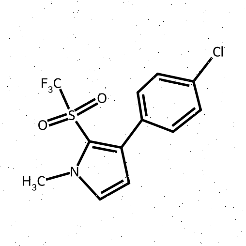 Cn1ccc(-c2ccc(Cl)cc2)c1S(=O)(=O)C(F)(F)F